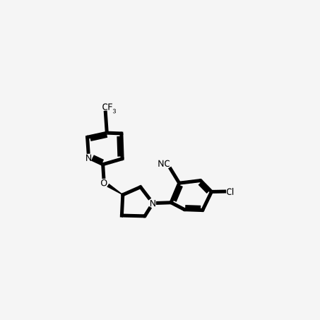 N#Cc1cc(Cl)ccc1N1CC[C@@H](Oc2ccc(C(F)(F)F)cn2)C1